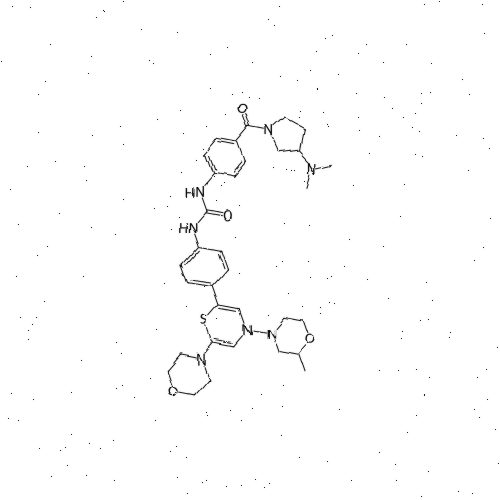 CC1CN(N2C=C(c3ccc(NC(=O)Nc4ccc(C(=O)N5CCC(N(C)C)C5)cc4)cc3)SC(N3CCOCC3)=C2)CCO1